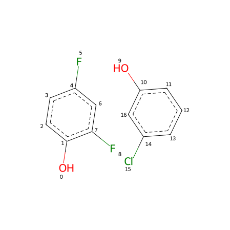 Oc1ccc(F)cc1F.Oc1cccc(Cl)c1